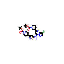 CC(C)(C)OC(=O)N1CCC(c2cc(Nc3cc(C4CCCN(C(=O)OC(C)(C)C)C4)nc4c(Br)cnn34)sn2)CC1